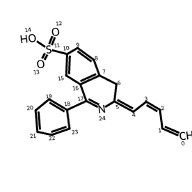 C=C/C=C\C=C1/Cc2ccc(S(=O)(=O)O)cc2C(c2ccccc2)=N1